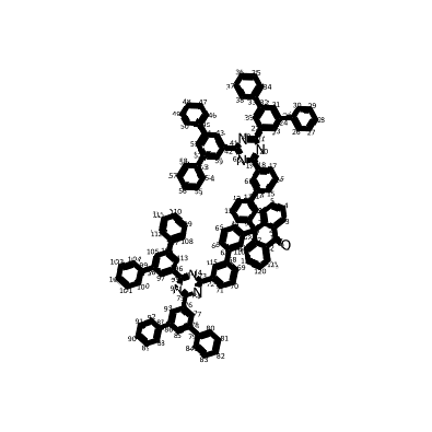 O=C1c2ccccc2C(c2cccc(-c3cccc(-c4nc(-c5cc(-c6ccccc6)cc(-c6ccccc6)c5)nc(-c5cc(-c6ccccc6)cc(-c6ccccc6)c5)n4)c3)c2)(c2cccc(-c3cccc(-c4nc(-c5cc(-c6ccccc6)cc(-c6ccccc6)c5)nc(-c5cc(-c6ccccc6)cc(-c6ccccc6)c5)n4)c3)c2)c2ccccc21